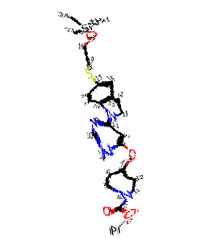 CC(C)OC(=O)N1CCC(Oc2cc(N3CCc4cc(SCCO[Si](C)(C)C(C)(C)C)ccc43)ncn2)CC1